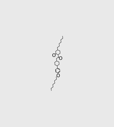 CCCCCCCCOc1ccc(C2CCC(CC(=O)C3CCC(CCCCCCC)CC3=O)CC2)cc1